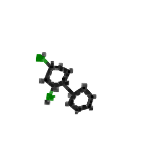 Brc1ccc(-c2c[c]ccc2)c(Br)c1